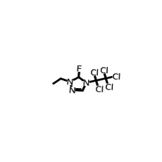 CCN1N=CN(C(Cl)(Cl)C(Cl)(Cl)Cl)C1F